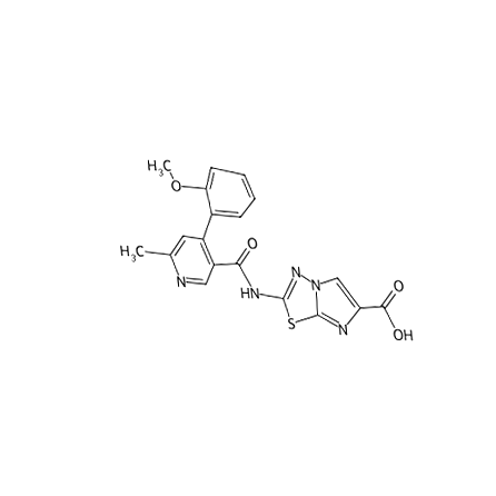 COc1ccccc1-c1cc(C)ncc1C(=O)Nc1nn2cc(C(=O)O)nc2s1